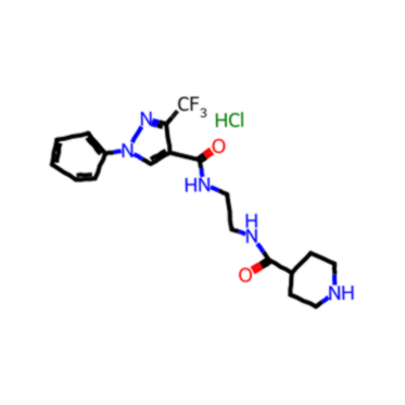 Cl.O=C(NCCNC(=O)C1CCNCC1)c1cn(-c2ccccc2)nc1C(F)(F)F